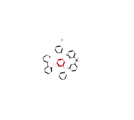 CC1(C)c2cccc(P(c3ccccc3)c3ccccc3)c2Oc2c(P(c3ccccc3)c3ccccc3)cccc21.Nc1ccccc1-c1[c-]cccc1.[Cl][Pd+]